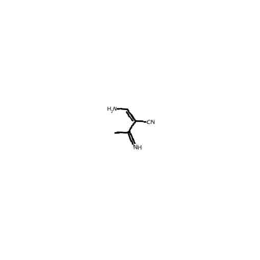 CC(=N)/C(C#N)=C\N